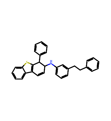 C1=CC(Nc2cccc(CCc3ccccc3)c2)C(c2ccccc2)c2sc3ccccc3c21